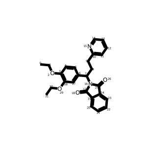 CCOc1ccc(C(CCc2ccccn2)N2C(=O)c3ccccc3C2=O)cc1OCC